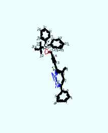 Cc1cc(-c2ccccc2)nnc1C#CCO[Si](c1ccccc1)(c1ccccc1)C(C)(C)C